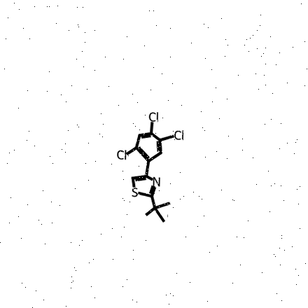 CC(C)(C)c1nc(-c2cc(Cl)c(Cl)cc2Cl)cs1